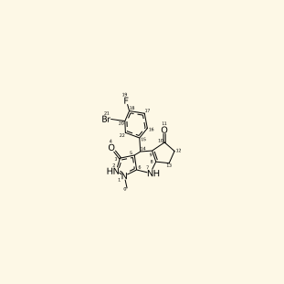 Cn1[nH]c(=O)c2c1NC1=C(C(=O)CC1)C2c1ccc(F)c(Br)c1